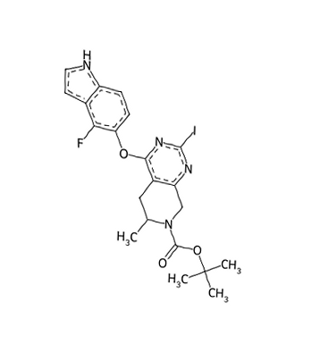 CC1Cc2c(nc(I)nc2Oc2ccc3[nH]ccc3c2F)CN1C(=O)OC(C)(C)C